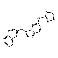 c1cnc(Nc2ccc3ncc(Cc4ccc5ncccc5c4)n3n2)nc1